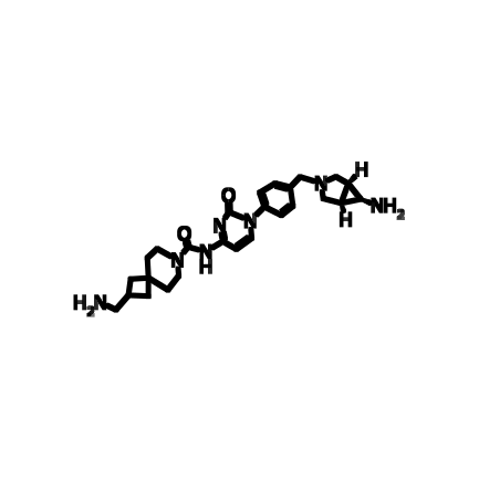 NCC1CC2(CCN(C(=O)Nc3ccn(-c4ccc(CN5C[C@@H]6[C@@H](N)[C@@H]6C5)cc4)c(=O)n3)CC2)C1